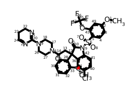 COc1ccc(S(=O)(=O)N2C(=O)C(CC(=O)N3CCN(C4=NCCC=N4)CC3)(c3ccccc3OC)c3cc(Cl)ccc32)c(OC(F)(F)F)c1